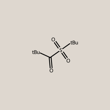 CC(C)(C)C(=O)S(=O)(=O)C(C)(C)C